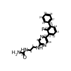 NC(=O)NCCNc1cnc(-c2cccc(-c3ccccc3)c2F)cn1